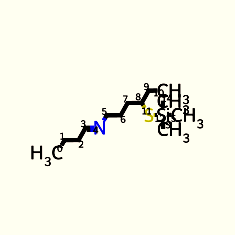 CCCC=NCCCC(CC)S[Si](C)(C)C